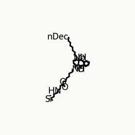 CCCCCCCCCCCCCCCCCCNC1=CC=C(NCCCCCCOC(=O)CCNCCC[Si](C)(C)C)C2C(=O)c3ccccc3C(=O)C12